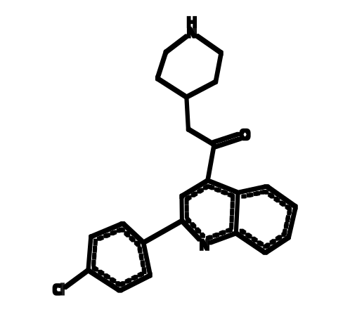 O=C(CC1CCNCC1)c1cc(-c2ccc(Cl)cc2)nc2ccccc12